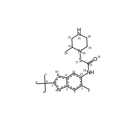 Cc1cc2nc(C(C)(C)C)sc2cc1NC(=O)SN1CCNCC1C